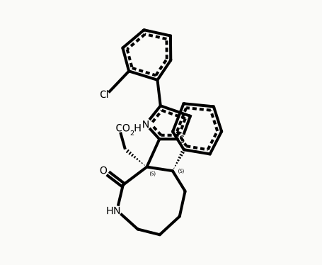 O=C(O)C[C@@]1(c2nc(-c3ccccc3Cl)cs2)C(=O)NCCCC[C@H]1c1ccccc1